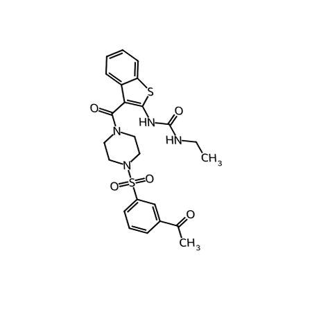 CCNC(=O)Nc1sc2ccccc2c1C(=O)N1CCN(S(=O)(=O)c2cccc(C(C)=O)c2)CC1